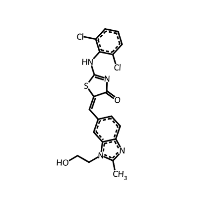 Cc1nc2ccc(C=C3SC(Nc4c(Cl)cccc4Cl)=NC3=O)cc2n1CCO